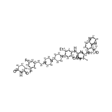 CCc1cc(Nc2ncc(C)c(Nc3ccc4nccnc4c3P(C)(C)=O)n2)c(OC)cc1N1CCC(N2CCN(CCc3cc(F)c([C@H]4CCC(=O)NC4=O)c(F)c3)CC2)CC1